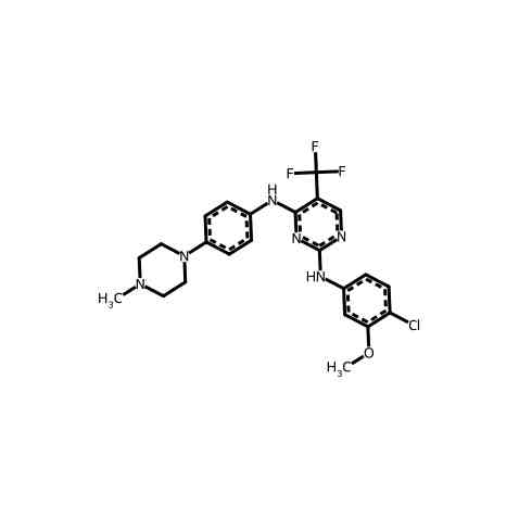 COc1cc(Nc2ncc(C(F)(F)F)c(Nc3ccc(N4CCN(C)CC4)cc3)n2)ccc1Cl